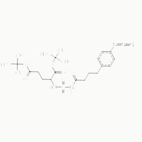 CC(C)(C)OC(=O)CCC(NS(=O)(=O)NC(=O)CCCc1ccc(N=[N+]=[N-])cc1)C(=O)OC(C)(C)C